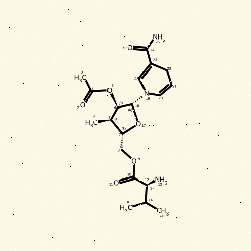 CC(=O)O[C@@H]1[C@H](C)[C@@H](COC(=O)[C@@H](N)C(C)C)O[C@H]1N1C=CCC(C(N)=O)=C1